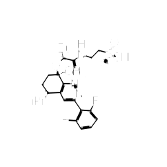 CC[C@H](O[C@@]1(C)CC[C@H](C(C)C)c2cc(-c3c(F)cccc3F)nnc21)C(=O)NCCS(C)(=O)=O